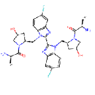 CC(C)[C@@H](N)C(=O)N1CC(O)C[C@H]1Cn1c(-c2nc3cc(F)ccc3n2C[C@@H]2CC(O)CN2C(=O)[C@H](N)C(C)C)nc2cc(F)ccc21